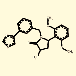 COc1cccc(OC)c1C1CC(C)C(=O)N1Cc1cccc(-c2cncs2)c1